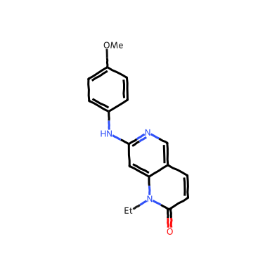 CCn1c(=O)ccc2cnc(Nc3ccc(OC)cc3)cc21